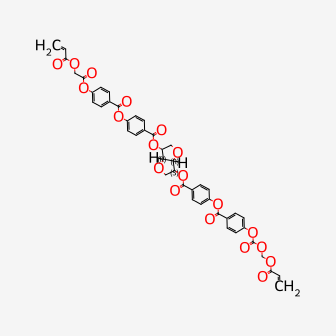 C=CC(=O)OCOC(=O)Oc1ccc(C(=O)Oc2ccc(C(=O)O[C@H]3CO[C@@H]4C(OC(=O)c5ccc(OC(=O)c6ccc(OC(=O)COC(=O)C=C)cc6)cc5)CO[C@H]34)cc2)cc1